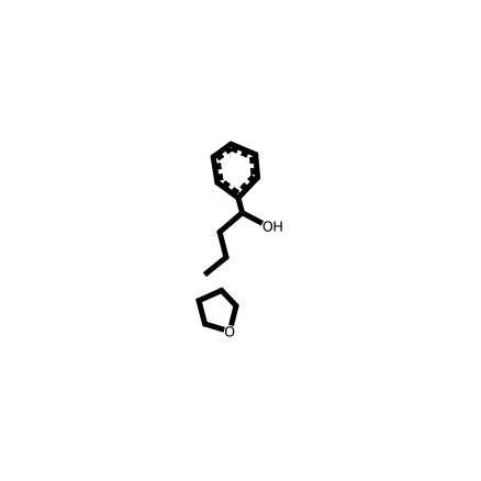 C1CCOC1.CCCC(O)c1ccccc1